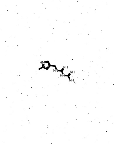 Cc1cc(CNC(=N)NC(=N)N)c[nH]1